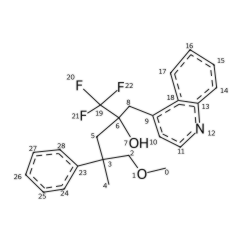 COCC(C)(CC(O)(Cc1ccnc2ccccc12)C(F)(F)F)c1ccccc1